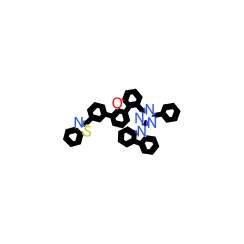 c1ccc(-c2nc(-c3cccc4oc5c(-c6cccc(-c7nc8ccccc8s7)c6)cccc5c34)nc(-n3c4ccccc4c4ccccc43)n2)cc1